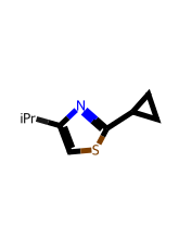 CC(C)c1csc(C2CC2)n1